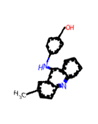 Cc1ccc2nc3ccccc3c(Nc3ccc(CO)cc3)c2c1